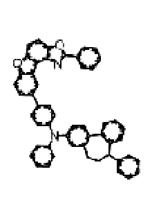 c1ccc(-c2nc3c(ccc4oc5ccc(-c6ccc(N(c7ccccc7)c7ccc8c(c7)CCC(c7ccccc7)c7ccccc7-8)cc6)cc5c43)o2)cc1